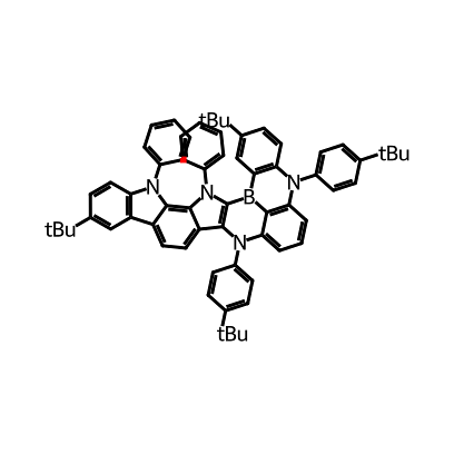 CC(C)(C)c1ccc(N2c3ccc(C(C)(C)C)cc3B3c4c2cccc4N(c2ccc(C(C)(C)C)cc2)c2c3n(-c3ccccc3)c3c2ccc2c4cc(C(C)(C)C)ccc4n(-c4ccccc4)c23)cc1